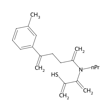 C=C(S)C(=C)N(CCC)C(=C)CCC(=C)c1cccc(C)c1